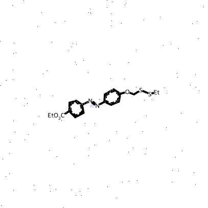 CCOC(=O)c1ccc(/N=N/c2ccc(OCSSCC)cc2)cc1